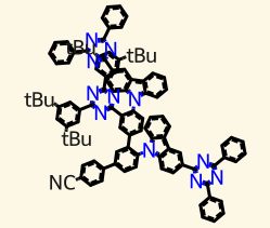 CC(C)(C)c1cc(-c2nc(-c3cc(C(C)(C)C)cc(C(C)(C)C)c3)nc(-c3cc(-c4cc(-c5ccc(C#N)cc5)ccc4-n4c5ccccc5c5cc(-c6nc(-c7ccccc7)nc(-c7ccccc7)n6)ccc54)ccc3-n3c4ccccc4c4cc(-c5nc(-c6ccccc6)nc(-c6ccccc6)n5)ccc43)n2)cc(C(C)(C)C)c1